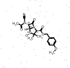 COc1ccc(COC(=O)[C@@H]2N3C(=O)[C@@H](N(C#N)C(C)=O)[C@H]3[S@@+]([O-])C2(C)C)cc1